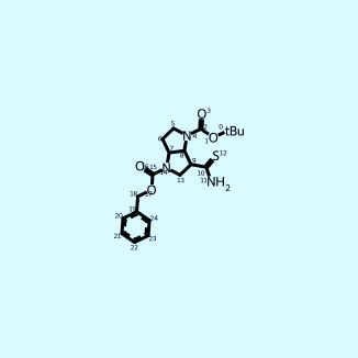 CC(C)(C)OC(=O)N1CCC2C1C(C(N)=S)CN2C(=O)OCc1ccccc1